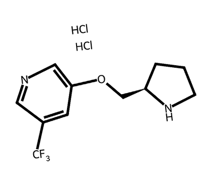 Cl.Cl.FC(F)(F)c1cncc(OC[C@H]2CCCN2)c1